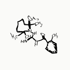 Cc1ccccc1C(=O)NC(=N)NN1C(C)(C)CCCC1(C)C